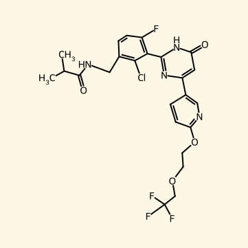 CC(C)C(=O)NCc1ccc(F)c(-c2nc(-c3ccc(OCCOCC(F)(F)F)nc3)cc(=O)[nH]2)c1Cl